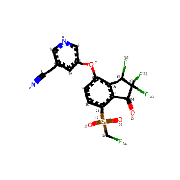 N#Cc1cncc(Oc2ccc(S(=O)(=O)CF)c3c2C(F)C(F)(F)C3=O)c1